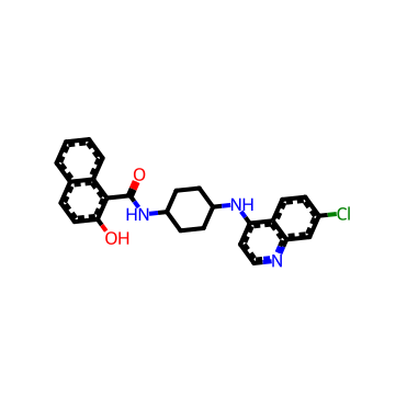 O=C(NC1CCC(Nc2ccnc3cc(Cl)ccc23)CC1)c1c(O)ccc2ccccc12